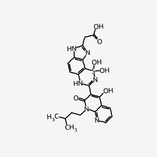 CC(C)CCn1c(=O)c(C2=NS(O)(O)c3c(ccc4[nH]c(CC(=O)O)nc34)N2)c(O)c2cccnc21